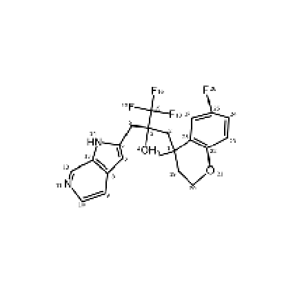 CC1(CC(O)(Cc2cc3ccncc3[nH]2)C(F)(F)F)CCOc2ccc(F)cc21